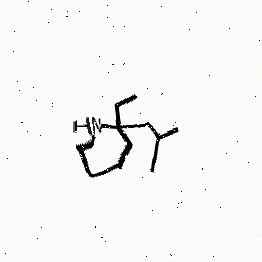 CCC1(C[C](C)C)CCCCN1